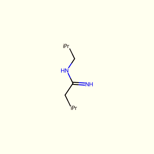 CC(C)CNC(=N)CC(C)C